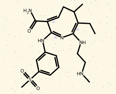 CC/C1=C(NCCNC)/N=C(Nc2cccc(S(C)(=O)=O)c2)\C(C(N)=O)=C\CC1C